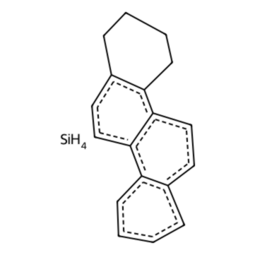 [SiH4].c1ccc2c(c1)ccc1c3c(ccc12)CCCC3